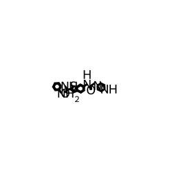 Nc1ccccc1NC(=O)c1cc2ccc(NC(=O)CN3CCNCC3)cc2s1